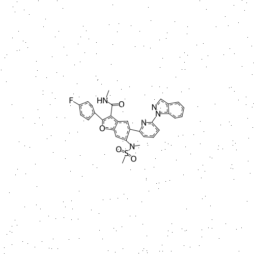 CNC(=O)c1c(-c2ccc(F)cc2)oc2cc(N(C)S(C)(=O)=O)c(-c3cccc(-n4ncc5ccccc54)n3)cc12